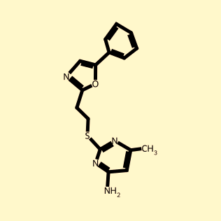 Cc1cc(N)nc(SCCc2ncc(-c3ccccc3)o2)n1